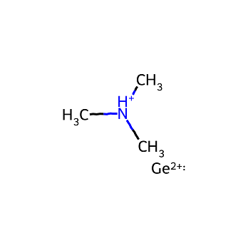 C[NH+](C)C.[Ge+2]